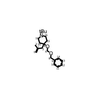 C=C(C)CC1(OCOCc2ccccc2)CCN(C(C)(C)C)CC1